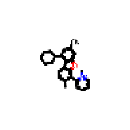 Cc1ccc2c(oc3cc(C#N)cc(C4CCCCC4)c32)c1-c1cccc[n+]1C